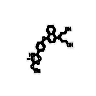 C[C@H](NC(=O)c1ccc(Oc2ccc(N(CCO)CCO)c3ccccc23)cc1)C(=O)OC(C)(C)C